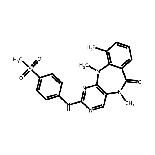 CN1C(=O)c2cccc(P)c2N(C)c2nc(Nc3ccc(S(C)(=O)=O)cc3)ncc21